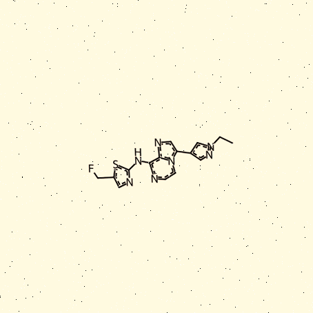 CCn1cc(-c2cnc3c(Nc4ncc(CF)s4)nccn23)cn1